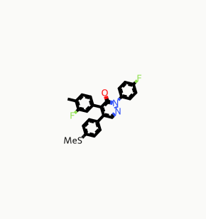 CSc1ccc(-c2cnn(-c3ccc(F)cc3)c(=O)c2-c2ccc(C)c(F)c2)cc1